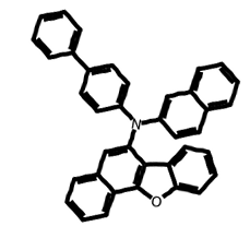 c1ccc(-c2ccc(N(c3ccc4ccccc4c3)c3cc4ccccc4c4oc5ccccc5c34)cc2)cc1